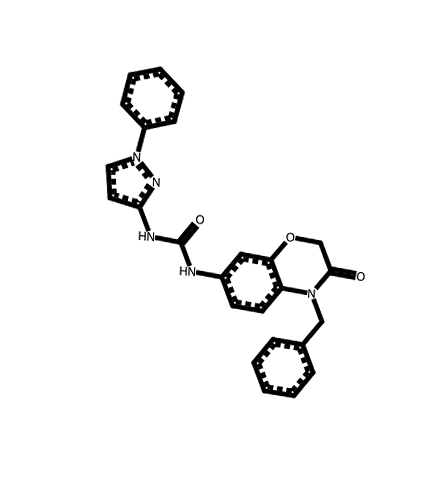 O=C(Nc1ccc2c(c1)OCC(=O)N2Cc1ccccc1)Nc1ccn(-c2ccccc2)n1